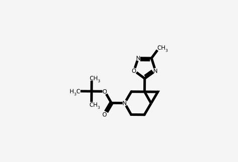 Cc1noc(C23CC2CCN(C(=O)OC(C)(C)C)C3)n1